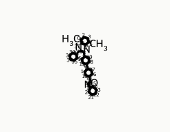 Cc1ccc(C)c2nc(-c3ccc(-c4ccc(-c5nc6ccccc6o5)cc4)cc3)c(-c3ccccc3)nc12